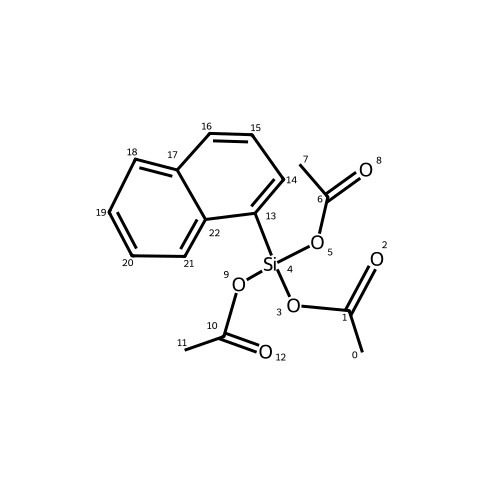 CC(=O)O[Si](OC(C)=O)(OC(C)=O)c1cccc2ccccc12